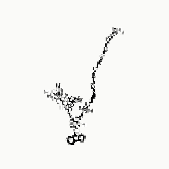 COCCOCCOCCOCCOCCOCCOCCOCCOCCOCC(=O)NCCCC[C@H](NC(=O)OCC1c2ccccc2-c2ccccc21)C(=O)NCCCC(=O)N[C@@H](CCC(=O)OC(C)(C)C)C(=O)N[C@H](C(=O)O)C(C)C